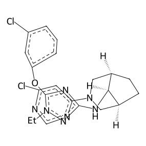 CCn1nc(N[C@H]2[C@@H]3CC[C@H]2CN(c2cc(Cl)ncn2)C3)nc1Oc1cccc(Cl)c1